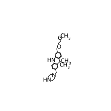 COCCOCc1ccc2c(c1)Nc1ccc(CN3CCNCC3)cc1C2(C)C